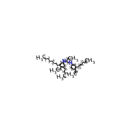 CCCCCCCCc1cc(N=C(C=Nc2ccc(CC)c(CCCCCC)c2)CC)cc(CCCC)c1CC